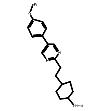 CCCCCCCC1CCC(CCc2ncc(-c3ccc(OCCC)cc3)cn2)CC1